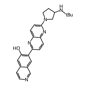 CC(C)(C)NC1CCN(c2ccc3nc(-c4cc5cnccc5cc4O)ccc3n2)C1